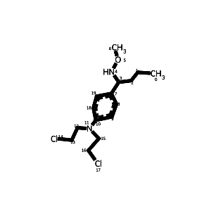 CCCC(NOC)c1ccc(N(CCCl)CCCl)cc1